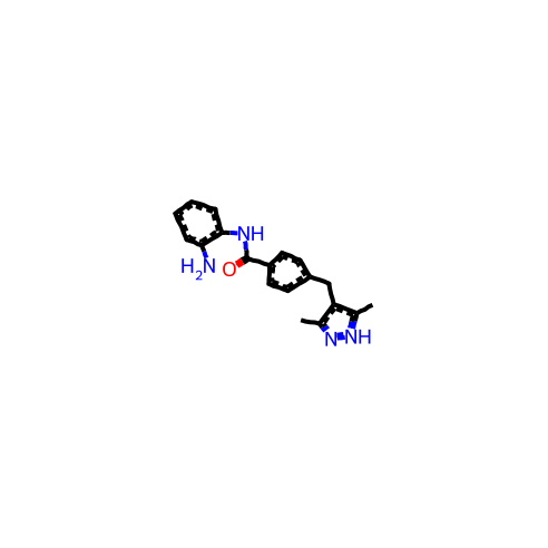 Cc1n[nH]c(C)c1Cc1ccc(C(=O)Nc2ccccc2N)cc1